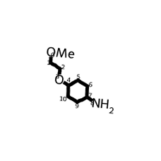 COCCOC1CCC(N)CC1